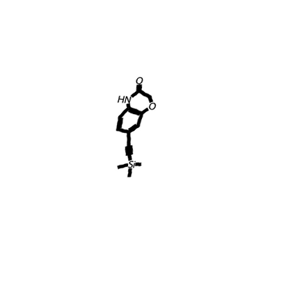 C[Si](C)(C)C#Cc1ccc2c(c1)OCC(=O)N2